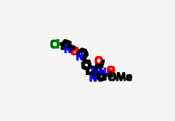 COC(=O)c1ccc2nc(CC3CC=C(c4cccc(OCc5ccc(Cl)cn5)n4)CC3)n(C[C@@H]3CCO3)c2n1